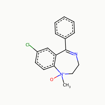 C[N+]1([O-])CCN=C(c2ccccc2)c2cc(Cl)ccc21